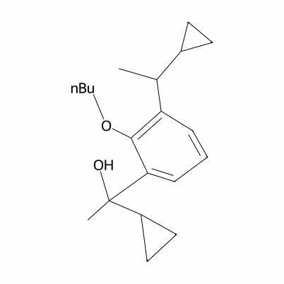 CCCCOc1c(C(C)C2CC2)cccc1C(C)(O)C1CC1